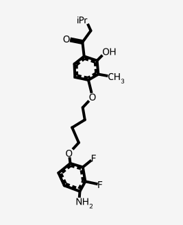 Cc1c(OCCCCOc2ccc(N)c(F)c2F)ccc(C(=O)CC(C)C)c1O